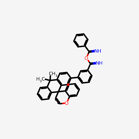 CC1(C)c2ccccc2C2(c3ccccc3Oc3ccccc32)c2cc(-c3cccc(C(=N)OC(=N)c4ccccc4)c3)ccc21